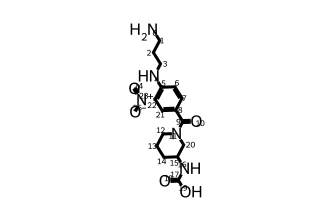 NCCCNc1ccc(C(=O)N2CCCC(NC(=O)O)C2)cc1[N+](=O)[O-]